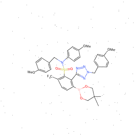 COc1ccc(CN(c2ccc(OC)cc2)S(=O)(=O)c2c(C(F)(F)F)ccc(B3OCC(C)(C)CO3)c2-c2nnn(Cc3ccc(OC)cc3)n2)cc1